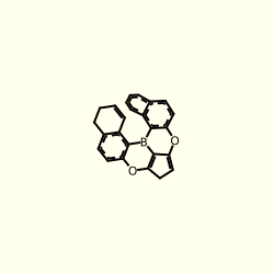 C1=Cc2c(ccc3c2B2C4=C(CC=C4Oc4ccc5ccccc5c42)O3)CC1